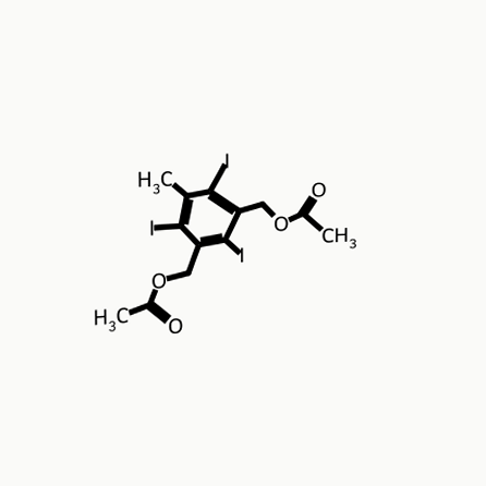 CC(=O)OCc1c(I)c(C)c(I)c(COC(C)=O)c1I